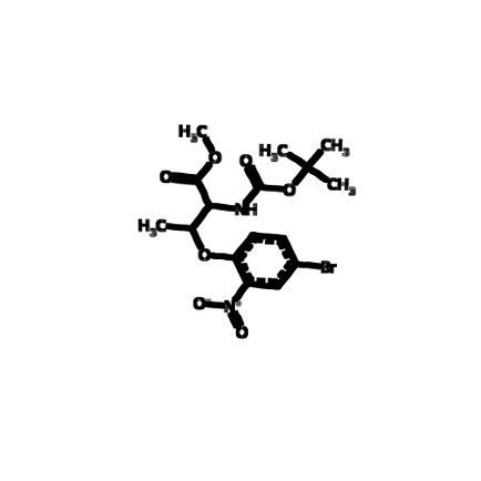 COC(=O)C(NC(=O)OC(C)(C)C)C(C)Oc1ccc(Br)cc1[N+](=O)[O-]